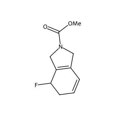 COC(=O)N1CC2=C(C1)C(F)CC=C2